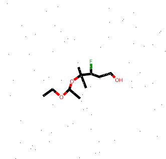 CCOC(C)OC(C)(C)C(F)CCO